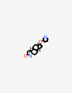 CN1C(=O)CC[C@@]2(C)C1CC[C@@H]1[C@H]2CC[C@]2(C)C(Oc3cccnc3)CC[C@@H]12